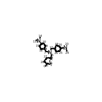 Cc1ccc(CN(Cc2ccc(N(C)C)cc2)Cc2ccc(N(C)C)cc2)cc1